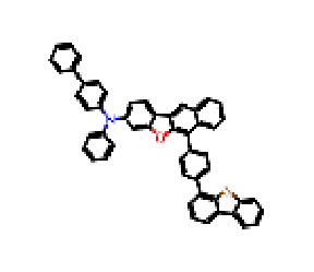 c1ccc(-c2ccc(N(c3ccccc3)c3ccc4c(c3)oc3c(-c5ccc(-c6cccc7c6sc6ccccc67)cc5)c5ccccc5cc34)cc2)cc1